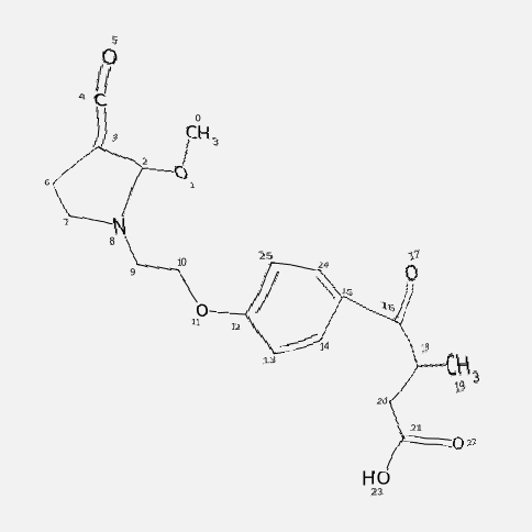 COC1C(=C=O)CCN1CCOc1ccc(C(=O)C(C)CC(=O)O)cc1